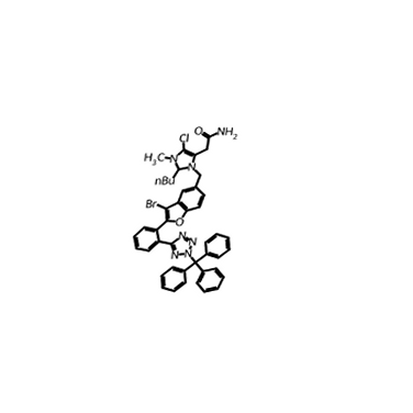 CCCCC1N(C)C(Cl)=C(CC(N)=O)N1Cc1ccc2oc(-c3ccccc3-c3nnn(C(c4ccccc4)(c4ccccc4)c4ccccc4)n3)c(Br)c2c1